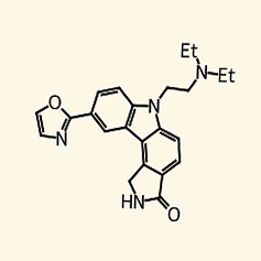 CCN(CC)CCn1c2ccc(-c3ncco3)cc2c2c3c(ccc21)C(=O)NC3